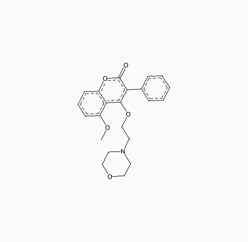 COc1cccc2oc(=O)c(-c3ccccc3)c(OCCN3CCOCC3)c12